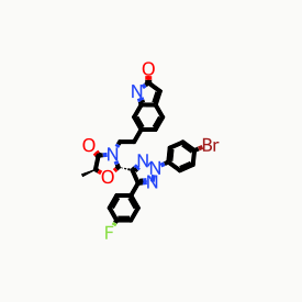 C[C@@H]1O[C@@H](c2nn(-c3ccc(Br)cc3)nc2-c2ccc(F)cc2)N(CCc2ccc3c(c2)=NC(=O)C=3)C1=O